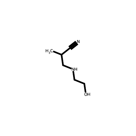 CC(C#N)CNCCO